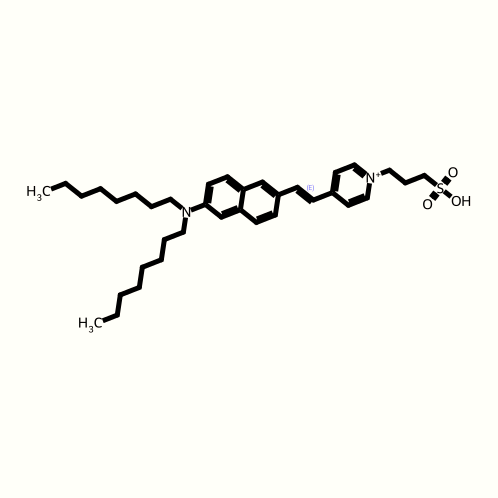 CCCCCCCCN(CCCCCCCC)c1ccc2cc(/C=C/c3cc[n+](CCCS(=O)(=O)O)cc3)ccc2c1